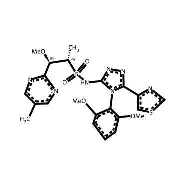 COc1cccc(OC)c1-n1c(NS(=O)(=O)[C@@H](C)[C@H](OC)c2ncc(C)cn2)nnc1-c1cscn1